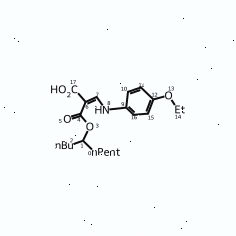 CCCCCC(CCCC)OC(=O)C(=CNc1ccc(OCC)cc1)C(=O)O